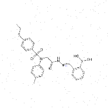 CCOc1ccc(S(=O)(=O)N(CC(=O)N/N=C/c2ccccc2N(O)O)c2ccc(C)cc2)cc1